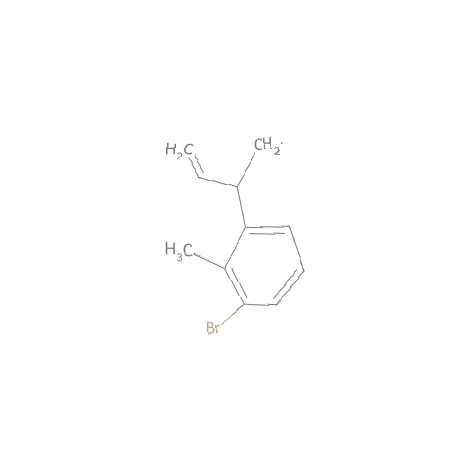 [CH2]C(C=C)c1cccc(Br)c1C